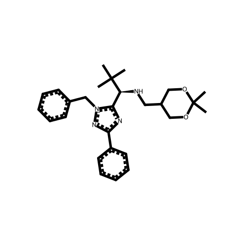 CC1(C)OCC(CN[C@@H](c2nc(-c3ccccc3)nn2Cc2ccccc2)C(C)(C)C)CO1